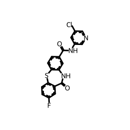 O=C(Nc1cncc(Cl)c1)c1ccc2c(c1)NC(=O)c1cc(F)ccc1S2